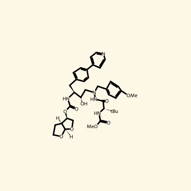 COC(=O)N[C@H](C(=O)NN(Cc1ccc(OC)cc1)C[C@H](O)[C@H](Cc1ccc(-c2ccncc2)cc1)NC(=O)O[C@H]1CO[C@H]2OCC[C@H]21)C(C)(C)C